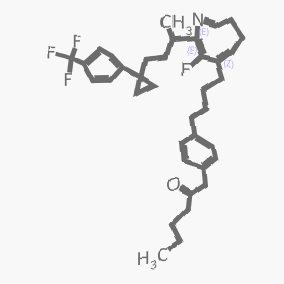 CCCCC(=O)Cc1ccc(CCCCC2=C/CC/C=N/C(C(C)CCC3(c4ccc(C(F)(F)F)cc4)CC3)=C\2F)cc1